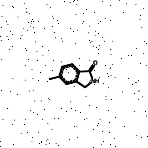 Cc1ccc2c(c1)CNC2=O